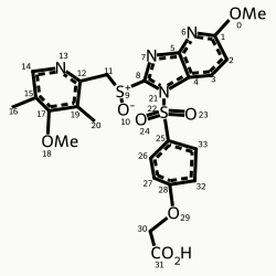 COc1ccc2c(n1)nc([S+]([O-])Cc1ncc(C)c(OC)c1C)n2S(=O)(=O)c1ccc(OCC(=O)O)cc1